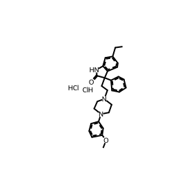 CCc1ccc2c(c1)NC(=O)C2(CCN1CCN(c2cccc(OC)c2)CC1)c1ccccc1.Cl.Cl